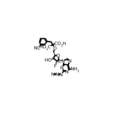 N#Cc1cccc(CC(OC[C@H]2O[C@@H](n3cnc4c(N)nc(N=[N+]=[N-])nc43)[C@@H](F)[C@@H]2O)(C(=O)O)C(=O)O)c1